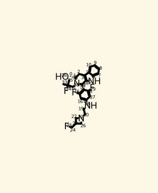 C[C@@H]1Cc2c([nH]c3ccccc23)[C@@H](c2c(F)cc(NCCN3CC(CF)C3)cc2F)N1CC(C)(F)CO